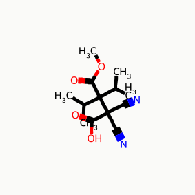 COC(=O)C(C(C)C)(C(C)C)C(C#N)(C#N)C(=O)O